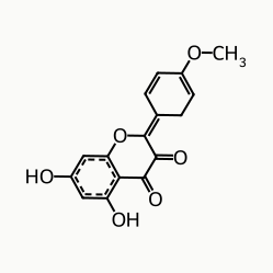 COC1=CCC(=C2Oc3cc(O)cc(O)c3C(=O)C2=O)C=C1